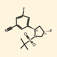 CC(C)(C)S(=O)(=O)N1C[C@@H](F)C[C@@H]1c1cc(F)cc(C#N)c1